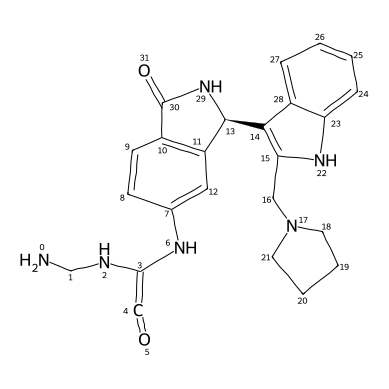 NCNC(=C=O)Nc1ccc2c(c1)[C@H](c1c(CN3CCCC3)[nH]c3ccccc13)NC2=O